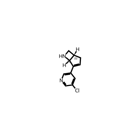 Clc1cncc(C2=CC[C@H]3CN[C@@H]23)c1